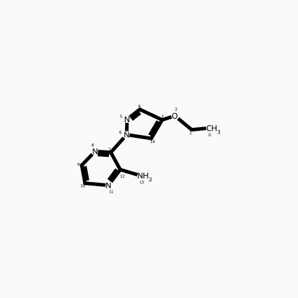 CCOc1cnn(-c2nccnc2N)c1